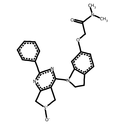 CN(C)C(=O)COc1ccc2c(c1)N(c1nc(-c3ccccc3)nc3c1C[S+]([O-])C3)CC2